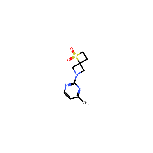 Cc1ccnc(N2CC3(CCS3(=O)=O)C2)n1